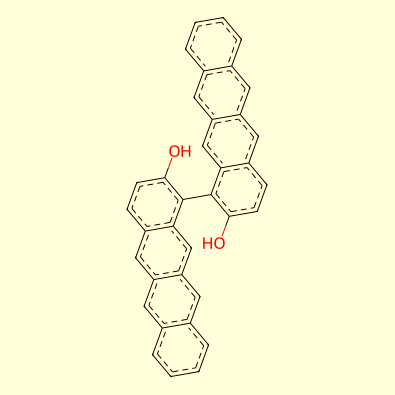 Oc1ccc2cc3cc4ccccc4cc3cc2c1-c1c(O)ccc2cc3cc4ccccc4cc3cc12